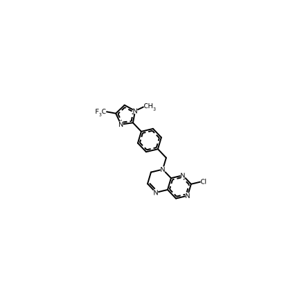 Cn1cc(C(F)(F)F)nc1-c1ccc(CN2CC=Nc3cnc(Cl)nc32)cc1